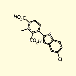 Cc1c(C(=O)O)ccc(-c2cc3cc(Cl)ccc3s2)c1C(=O)O